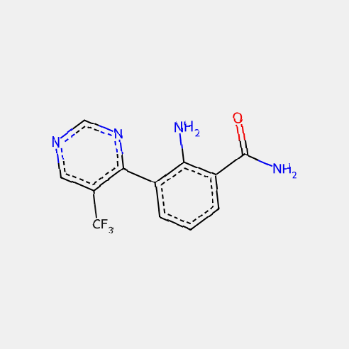 NC(=O)c1cccc(-c2ncncc2C(F)(F)F)c1N